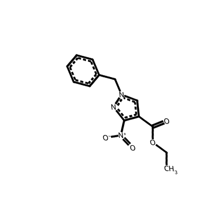 CCOC(=O)c1cn(Cc2ccccc2)nc1[N+](=O)[O-]